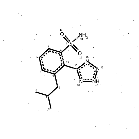 CC(C)Cc1cccc(S(N)(=O)=O)c1-c1nn[nH]n1